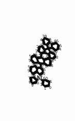 c1ccc(N(c2ccccc2)c2ccc(-c3c4ccccc4c(-c4cccc5c4-c4ccccc4C5(c4ccccc4)c4ccccc4)c4ccccc34)c3ccccc23)cc1